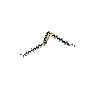 CCCCCCCCCCCCCCSc1ccc(CC(=O)Cc2ccc(SCCCCCCCCCCCCCC)s2)s1